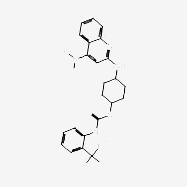 CN(C)c1cc(NC2CCC(NC(=O)Nc3ccccc3C(F)(F)F)CC2)nc2ccccc12